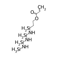 C=CC(=O)OCC[SiH2]N[SiH2]N[SiH2]N[SiH3]